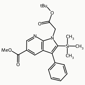 COC(=O)c1cnc2c(c1)c(-c1ccccc1)c([Si](C)(C)C)n2CC(=O)OC(C)(C)C